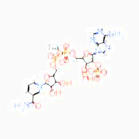 NC(=O)c1ccc[n+](C2OC(COP(=O)([O-])OP(=O)([O-])OCC3OC(n4cnc5c(N)ncnc54)C(OP(=O)(O)O)C3O)C(O)C2O)c1.[Na+]